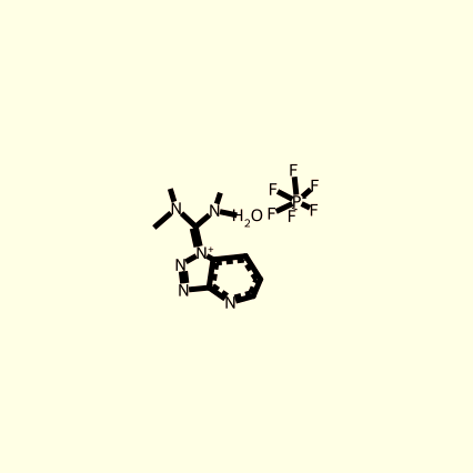 CN(C)C(N(C)C)=[N+]1N=Nc2ncccc21.F[P-](F)(F)(F)(F)F.O